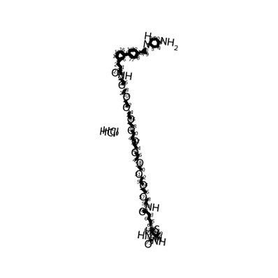 Cl.Cl.N[C@H]1CC[C@H](N[C@@H]2C[C@H]2c2ccc(-c3cccc(CCC(=O)NCCOCCOCCOCCOCCOCCOCCOCCOCCOCCOCCOCCNC(=O)CCCC[C@@H]4SC[C@@H]5NC(=O)N[C@@H]54)c3)cc2)CC1